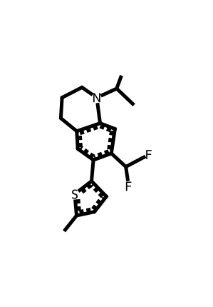 Cc1ccc(-c2cc3c(cc2C(F)F)N(C(C)C)CCC3)s1